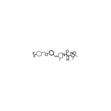 Cc1onc(NC(=O)N2CCC(=Cc3cccc(OCC4CCC(F)(F)CC4)c3)C(C)C2)c1C